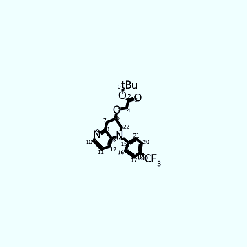 CC(C)(C)OC(=O)COC1Cc2ncccc2N(c2ccc(C(F)(F)F)cc2)C1